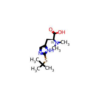 CN(C)[C@@H](Cc1cnc(SC(C)(C)C)[nH]1)C(=O)O